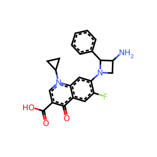 NC1CN(c2cc3c(cc2F)c(=O)c(C(=O)O)cn3C2CC2)C1c1ccccc1